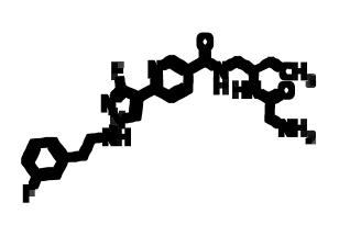 CC[C@H](CNC(=O)c1ccc(-c2cn(NCCc3cccc(F)c3)nc2F)nc1)NC(=O)CN